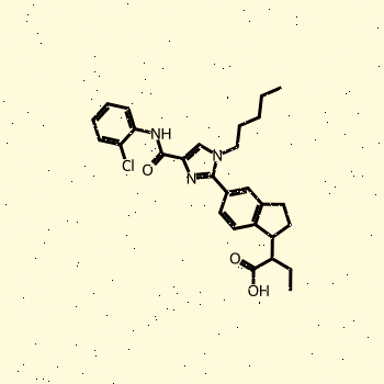 CCCCCn1cc(C(=O)Nc2ccccc2Cl)nc1-c1ccc2c(c1)CCC2C(CC)C(=O)O